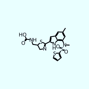 Cc1cc(N(C)S(=O)(=O)c2cccs2)c2[nH]c(C3=NCC(CNC(=O)O)S3)cc2c1